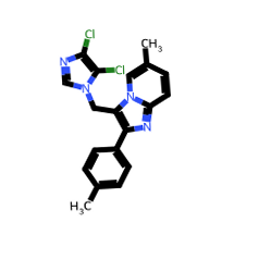 Cc1ccc(-c2nc3ccc(C)cn3c2Cn2cnc(Cl)c2Cl)cc1